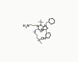 CC[C@H](O)CC/C=C\C(=O)N(CCCN)[C@@H](c1nc(-c2ccccc2)cn1Cc1ccccc1)C(C)(C)C